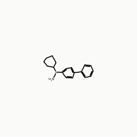 NN(c1ccc(-c2ccccc2)cc1)C1CCCCC1